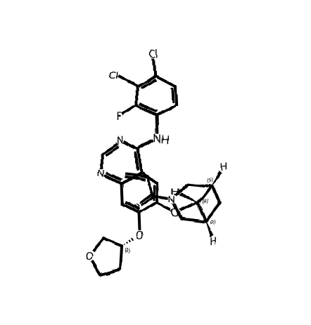 C=CC(=O)N1C[C@H]2C[C@@H](C1)[C@H]2Oc1cc2c(Nc3ccc(Cl)c(Cl)c3F)ncnc2cc1O[C@@H]1CCOC1